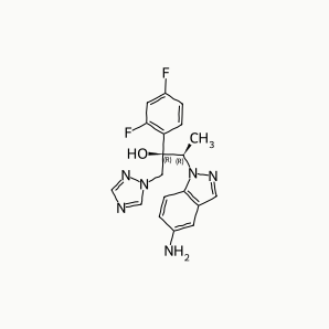 C[C@@H](n1ncc2cc(N)ccc21)[C@](O)(Cn1cncn1)c1ccc(F)cc1F